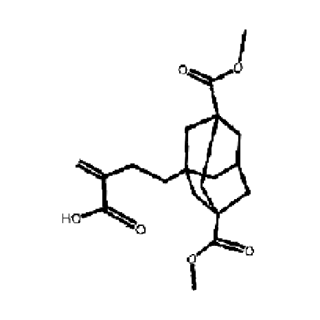 C=C(CCC12CC3CC(C(=O)OC)(C1)CC(C(=O)OC)(C3)C2)C(=O)O